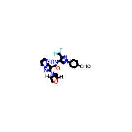 O=CC1CCC(n2cc(NC(=O)c3c(N4C[C@H]5C[C@@H]4CO5)nn4cccnc34)c(C(F)F)n2)CC1